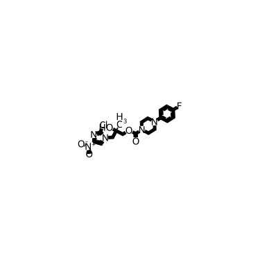 C[C@](O)(COC(=O)N1CCN(c2ccc(F)cc2)CC1)Cn1cc([N+](=O)[O-])nc1Cl